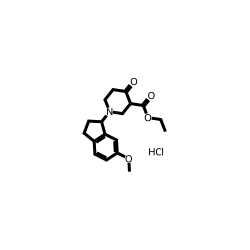 CCOC(=O)C1CN(C2CCc3ccc(OC)cc32)CCC1=O.Cl